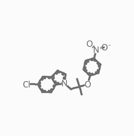 CC(C)(Cn1ccc2cc(Cl)ccc21)Oc1ccc([N+](=O)[O-])cc1